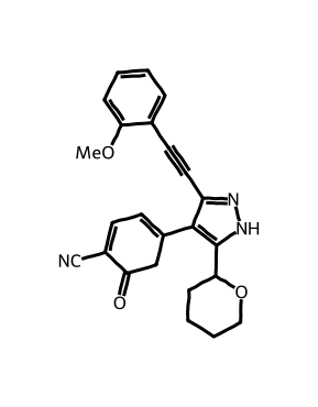 COc1ccccc1C#Cc1n[nH]c(C2CCCCO2)c1C1=CC=C(C#N)C(=O)C1